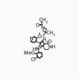 C=CC(=O)N1CC(C)(C)[C@@H]1COc1cnccc1-c1cc2c(n1Nc1cccc(Cl)c1OC)CCNC2=O